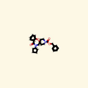 O=C(OCc1ccccc1)N1CCC2(CC1)CN(C1CCCC1)C(=O)c1ccccc1O2